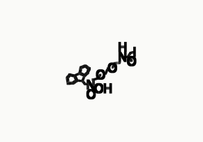 O=C(CI)NCCOCCOCCN(CC1c2ccccc2-c2ccccc21)C(=O)O